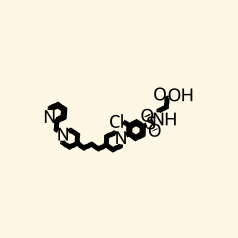 O=C(O)CCNS(=O)(=O)c1ccc(N2CCC(CCCC3CCN(Cc4ccccn4)CC3)CC2)c(Cl)c1